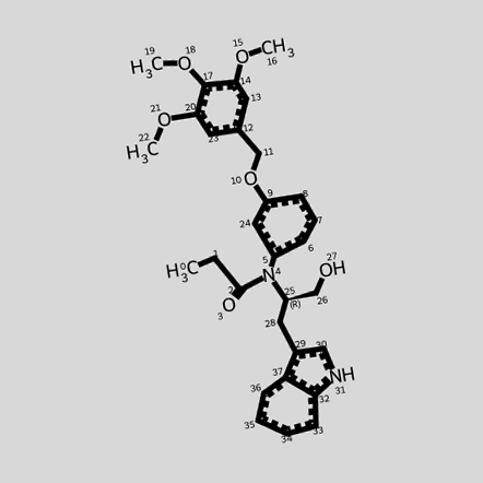 CCC(=O)N(c1cccc(OCc2cc(OC)c(OC)c(OC)c2)c1)[C@@H](CO)Cc1c[nH]c2ccccc12